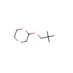 CC(C)(C)COC1COCCO1